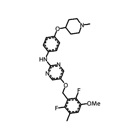 COc1cc(C)c(F)c(COc2cnc(Nc3ccc(OC4CCN(C)CC4)cc3)nc2)c1F